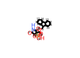 O=C1CC(C(=O)OCC2c3ccccc3-c3ccccc32)(S(=O)(=O)O)C(=O)N1